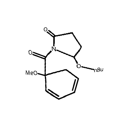 CCCCOC1CCC(=O)N1C(=O)C1(OC)C=CC=CC1